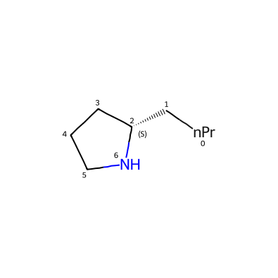 CCCC[C@H]1CCCN1